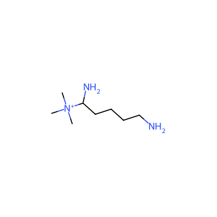 C[N+](C)(C)C(N)CCCCN